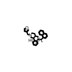 C[C@H](c1cccc2ccccc12)N(CC1CCN(Cc2ccoc2)CC1c1ccccc1)C(=O)O